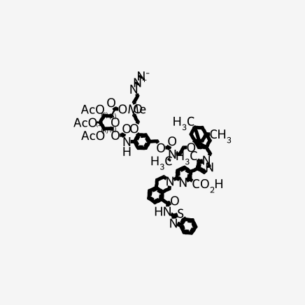 COC(=O)[C@H]1O[C@@H](OC(=O)Nc2ccc(COC(=O)N(C)CCOC34CC5(C)CC(C)(CC(Cn6ncc(-c7ccc(N8CCc9cccc(C(=O)Nc%10nc%11ccccc%11s%10)c9C8)nc7C(=O)O)c6C)(C5)C3)C4)cc2OCCOCCN=[N+]=[N-])[C@H](OC(C)=O)[C@@H](OC(C)=O)[C@@H]1OC(C)=O